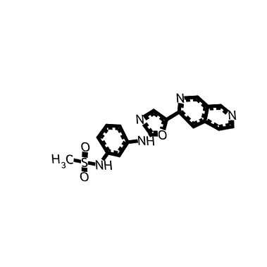 CS(=O)(=O)Nc1cccc(Nc2ncc(-c3cc4ccncc4cn3)o2)c1